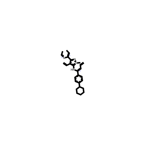 C=C/C=C(\Nc1c(C=C)c(C(=C/C)/N=C\C)nn1C)c1ccc(C2CCCCC2)cc1